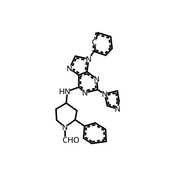 O=CN1CCC(Nc2nc(-n3ccnc3)nc3c2ncn3-c2ccccc2)CC1c1ccccc1